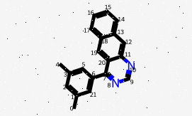 Cc1cc(C)cc(-c2ncnc3cc4ccccc4cc23)c1